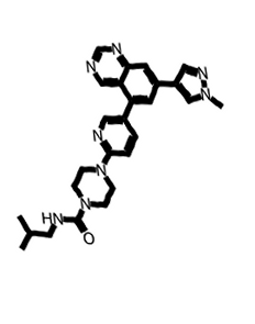 CC(C)CNC(=O)N1CCN(c2ccc(-c3cc(-c4cnn(C)c4)cc4ncncc34)cn2)CC1